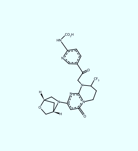 O=C(O)Nc1ccc(C(=O)CN2c3nc(N4C[C@@H]5C[C@H]4CO5)cc(=O)n3CCC2C(F)(F)F)cn1